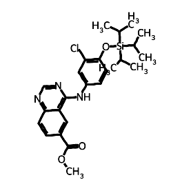 COC(=O)c1ccc2ncnc(Nc3ccc(O[Si](C(C)C)(C(C)C)C(C)C)c(Cl)c3)c2c1